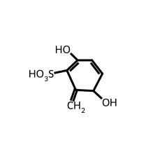 C=C1C(S(=O)(=O)O)=C(O)C=CC1O